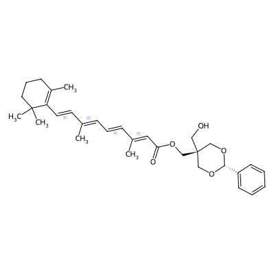 CC1=C(/C=C/C(C)=C/C=C/C(C)=C/C(=O)OC[C@]2(CO)CO[C@@H](c3ccccc3)OC2)C(C)(C)CCC1